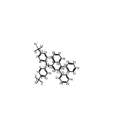 CC(C)(C)c1ccc(N(c2ccc(C(C)(C)C)cc2)c2cc(-c3ccccc3)c(-c3ccccc3)c3ccccc23)cc1